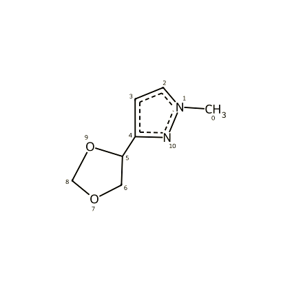 Cn1ccc(C2COCO2)n1